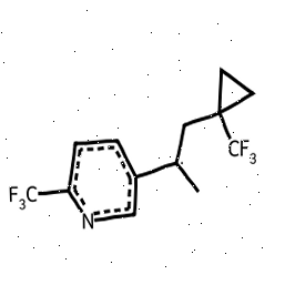 C[C](CC1(C(F)(F)F)CC1)c1ccc(C(F)(F)F)nc1